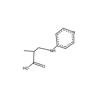 CC(CNc1ccncc1)C(=O)O